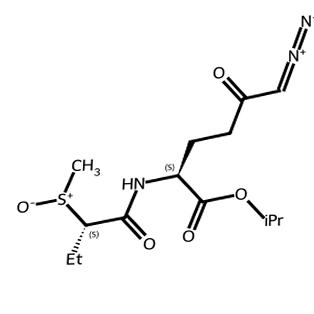 CC[C@@H](C(=O)N[C@@H](CCC(=O)C=[N+]=[N-])C(=O)OC(C)C)[S+](C)[O-]